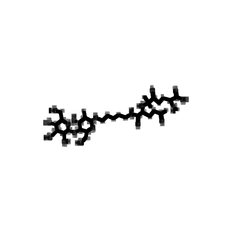 CNC(CCC(=O)C(C)(C)NC(CCC(C)=O)C(=O)NCCCCCO[C@@H]1OC(CO)[C@@H](O[C@@H]2OC(CO)[C@H](O)[C@H](O)C2O)[C@H](O)C1C)C(=O)O